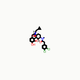 CN(C(=O)Cc1ccc(Cl)c(Cl)c1)[C@@H]1CC[C@@]2(O)[C@H]3Cc4ccc(O)c5c4[C@@]2(CCN3CC2CC2)[C@H]1O5